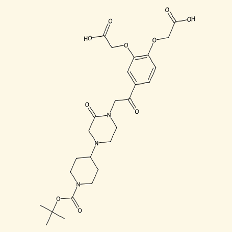 CC(C)(C)OC(=O)N1CCC(N2CCN(CC(=O)c3ccc(OCC(=O)O)c(OCC(=O)O)c3)C(=O)C2)CC1